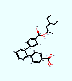 CCC(CC)C[C@@H](C)OC(=O)c1ccc(-c2ccccc2-c2ccc(C(=O)O)cc2)cc1